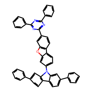 c1ccc(-c2ccc3c4ccc(-c5ccccc5)cc4n(-c4ccc5c(c4)oc4cc(-c6nc(-c7ccccc7)nc(-c7ccccc7)n6)ccc45)c3c2)cc1